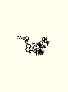 C#Cc1c(F)ccc2cc(OCOC)cc(-c3nc(C#N)c4c(N5C[C@H]6CC[C@@H](C5)N6C(=O)OC(C)(C)C)nc(OC[C@@]56CCCN5C[C@H](F)C6)nc4c3F)c12